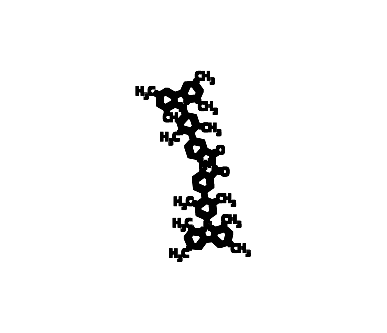 Cc1cc(C)c2c(c1)c1cc(C)cc(C)c1n2-c1cc(C)c(-c2ccc3c(c2)c(=O)n2c(=O)c4cc(-c5c(C)cc(-n6c7c(C)cc(C)cc7c7cc(C)cc(C)c76)cc5C)ccc4n32)c(C)c1